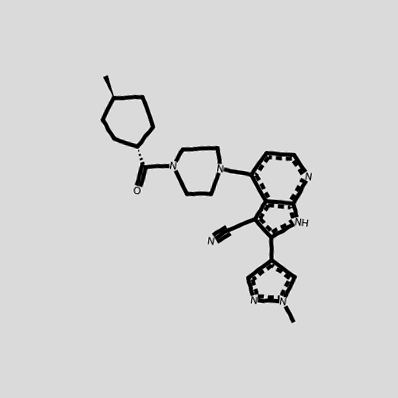 Cn1cc(-c2[nH]c3nccc(N4CCN(C(=O)[C@H]5CC[C@H](C)CC5)CC4)c3c2C#N)cn1